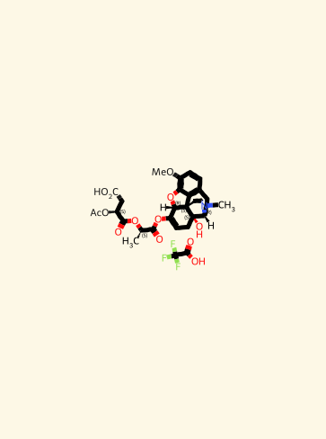 COc1ccc2c3c1O[C@H]1C(OC(=O)[C@H](C)OC(=O)[C@H](CC(=O)O)OC(C)=O)=CC[C@@]4(O)[C@@H](C2)N(C)CC[C@]314.O=C(O)C(F)(F)F